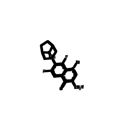 CCn1cc(C(=O)O)c(=O)c2cc(F)c(N3CC4CCC(C3)N4C)c(F)c21